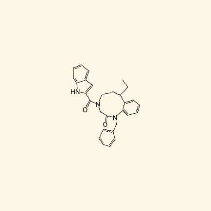 CCC1CCN(C(=O)c2cc3ccccc3[nH]2)CC(=O)N(Cc2ccccc2)c2ccccc21